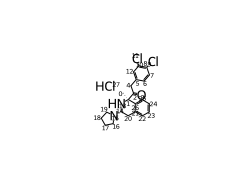 C[C@@]1(C(=O)Cc2ccc(Cl)c(Cl)c2)N[C@@H](N2CCCC2)Cc2ccccc21.Cl